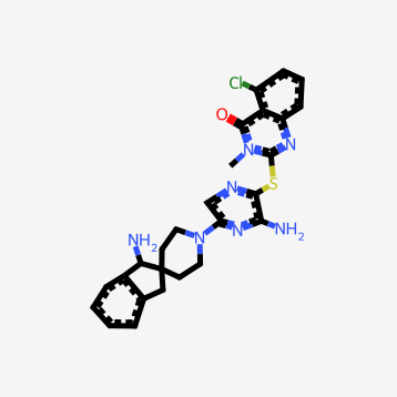 Cn1c(Sc2ncc(N3CCC4(CC3)Cc3ccccc3C4N)nc2N)nc2cccc(Cl)c2c1=O